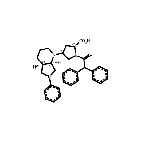 O=C(O)[C@@H]1C[C@H](N2CCC[C@@H]3CN(c4ccccc4)C[C@@H]32)CN1C(=O)C(c1ccccc1)c1ccccc1